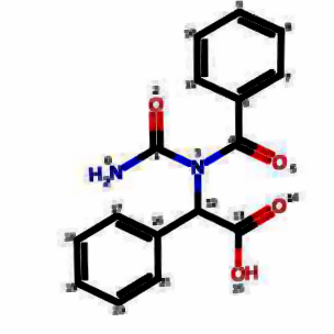 NC(=O)N(C(=O)c1ccccc1)C(C(=O)O)c1ccccc1